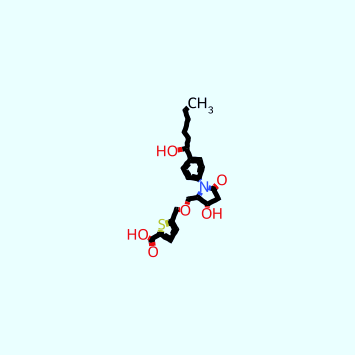 CCCCCC(O)c1ccc(N2C(=O)CC(O)C2COCc2ccc(C(=O)O)s2)cc1